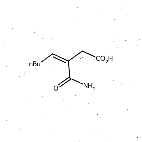 CCCCC=C(CC(=O)O)C(N)=O